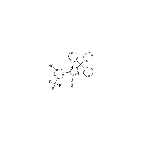 N#Cc1nn(C(c2ccccc2)(c2ccccc2)c2ccccc2)nc1-c1cc(O)cc(C(F)(F)F)c1